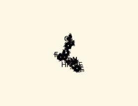 C=CC(=O)N1CCc2cc(N3CCC4(CC3)C[C@@H](CC(=O)N[C@H](Cc3ccc(F)c(F)c3)c3nnco3)c3ccc(F)cc34)ccc21